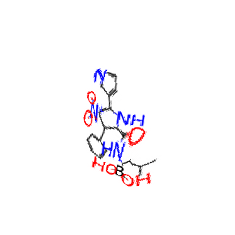 CC(C)CC(NC(=O)C1NC(c2cccnc2)C([N+](=O)[O-])C1c1ccccc1)B(O)O